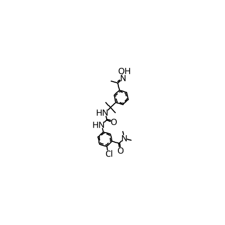 C/C(=N\O)c1cccc(C(C)(C)NC(=O)Nc2ccc(Cl)c(C(=O)N(C)C)c2)c1